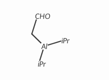 C[CH](C)[Al]([CH2]C=O)[CH](C)C